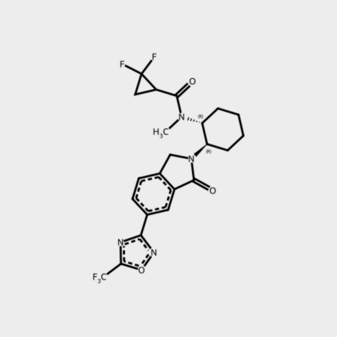 CN(C(=O)C1CC1(F)F)[C@@H]1CCCC[C@H]1N1Cc2ccc(-c3noc(C(F)(F)F)n3)cc2C1=O